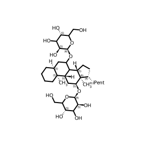 CCC[C@@H](C)[C@H]1CC[C@H]2C3C(O[C@@H]4OC(CO)[C@@H](O)C(O)[C@@H]4O)C[C@@H]4CCCC[C@]4(C)[C@H]3C[C@H](O[C@@H]3OC(CO)[C@@H](O)C(O)[C@@H]3O)[C@]12C